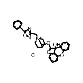 O=C(OC1C[N+]2(Cc3noc(-c4ccccc4)n3)CCC1CC2)C1(O)c2ccccc2Oc2ccccc21.[Cl-]